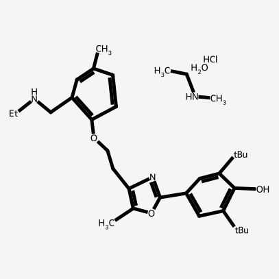 CCNC.CCNCc1cc(C)ccc1OCCc1nc(-c2cc(C(C)(C)C)c(O)c(C(C)(C)C)c2)oc1C.Cl.O